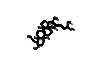 CC(C)CCC[C@@H](C)[C@H]1CC[C@H]2C3=C(CC[C@]12C)[C@@]1(C)CC[C@H](O)[C@@H](CO)[C@@H]1CC3